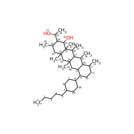 CCCCCC1CCC(C2CCC(C)C3C(C)C4C(C)C5(C)C(O)C(C(C)O)C(C)CC5(C)CC4(C)CC23)CC1